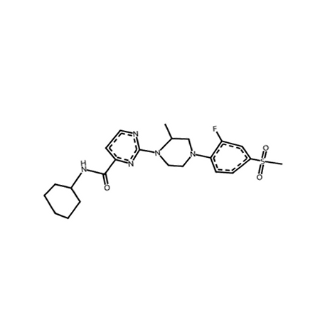 CC1CN(c2ccc(S(C)(=O)=O)cc2F)CCN1c1nccc(C(=O)NC2CCCCC2)n1